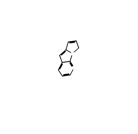 C1=Cc2cc3cccnc3n2C1